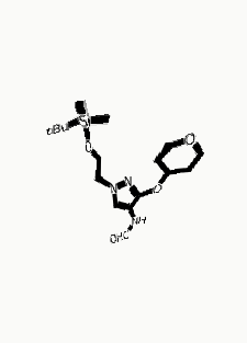 CC(C)(C)[Si](C)(C)OCCn1cc(NC=O)c(OC2CCOCC2)n1